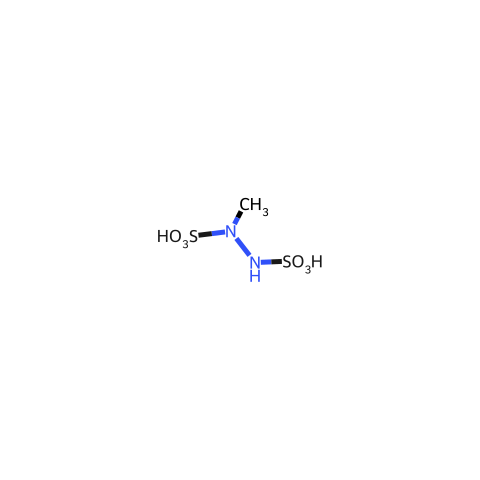 CN(NS(=O)(=O)O)S(=O)(=O)O